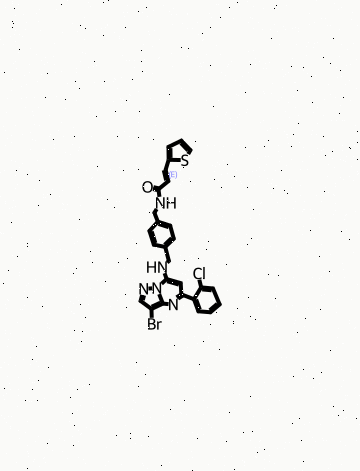 O=C(/C=C/c1cccs1)NCc1ccc(CNc2cc(-c3ccccc3Cl)nc3c(Br)cnn23)cc1